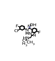 CC(C)NCc1nc2c(F)ccc(/C(=N\O)Nc3ccc(F)c(Cl)c3)c2[nH]1